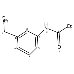 CCC(=O)Nc1cccc(CC(C)C)c1